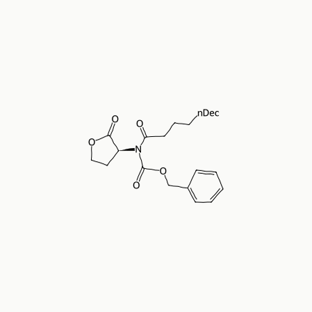 CCCCCCCCCCCCCC(=O)N(C(=O)OCc1ccccc1)[C@H]1CCOC1=O